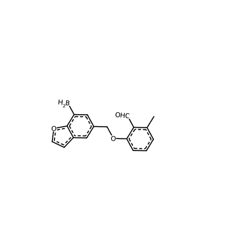 Bc1cc(COc2cccc(C)c2C=O)cc2ccoc12